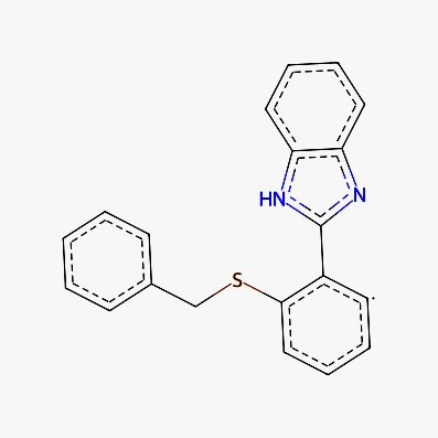 [c]1cccc(SCc2ccccc2)c1-c1nc2ccccc2[nH]1